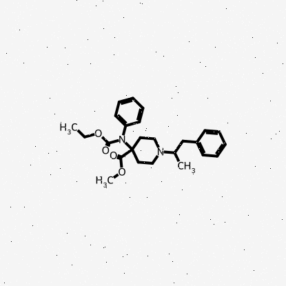 CCOC(=O)N(c1ccccc1)C1(C(=O)OC)CCN(C(C)Cc2ccccc2)CC1